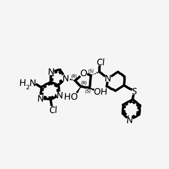 Nc1nc(Cl)nc2c1ncn2[C@@H]1O[C@H](C(Cl)N2CCC(Sc3ccncc3)CC2)[C@@H](O)[C@H]1O